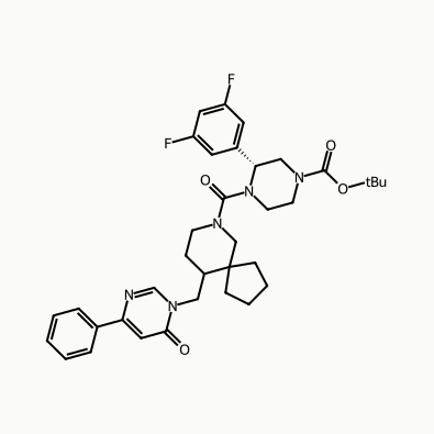 CC(C)(C)OC(=O)N1CCN(C(=O)N2CCC(Cn3cnc(-c4ccccc4)cc3=O)C3(CCCC3)C2)[C@H](c2cc(F)cc(F)c2)C1